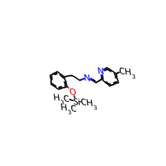 Cc1ccc(C=NCCc2ccccc2O[Si](C)(C)C)nc1